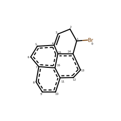 Br[C]1CC=c2ccc3cccc4ccc1c2c43